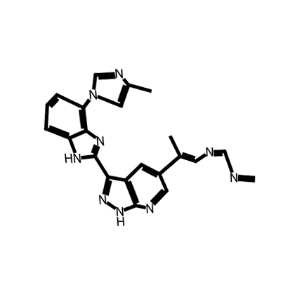 C=N/C=N\C=C(/C)c1cnc2[nH]nc(-c3nc4c(-n5cnc(C)c5)cccc4[nH]3)c2c1